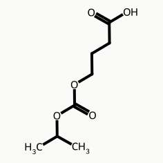 CC(C)OC(=O)OCCCC(=O)O